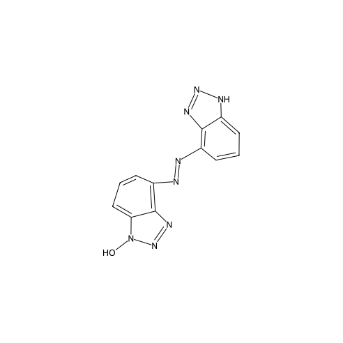 On1nnc2c(N=Nc3cccc4[nH]nnc34)cccc21